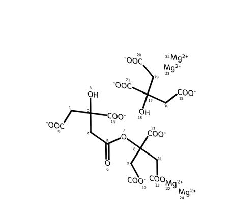 O=C([O-])CC(O)(CC(=O)OC(CC(=O)[O-])(CC(=O)[O-])C(=O)[O-])C(=O)[O-].O=C([O-])CC(O)(CC(=O)[O-])C(=O)[O-].[Mg+2].[Mg+2].[Mg+2].[Mg+2]